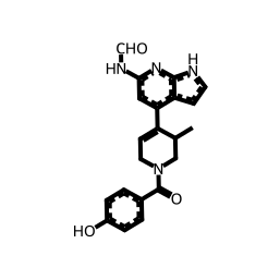 CC1CN(C(=O)c2ccc(O)cc2)CC=C1c1cc(NC=O)nc2[nH]ccc12